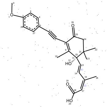 COc1ccc(C#CC2=C(C)[C@](O)(/C=C/C(C)=C\C(=O)O)C(C)(C)CC2=O)cc1